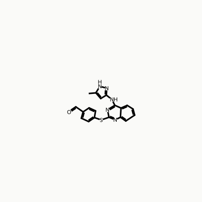 Cc1cc(Nc2nc(Sc3ccc(C=O)cc3)nc3ccccc23)n[nH]1